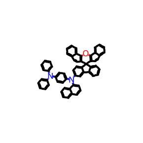 c1ccc(N(c2ccccc2)c2ccc(N(c3ccc4c(c3)-c3ccccc3C43c4ccc5ccccc5c4Oc4c3ccc3ccccc43)c3cccc4ccccc34)cc2)cc1